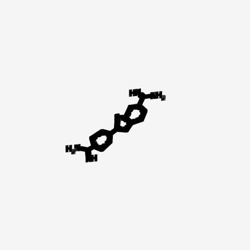 N=C(N)c1ccc(-c2cc3ccc(C(=N)N)cc3s2)cc1